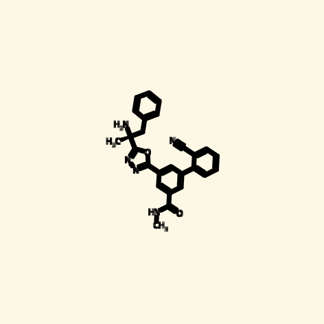 CNC(=O)c1cc(-c2nnc([C@](C)(N)Cc3ccccc3)o2)cc(-c2ccccc2C#N)c1